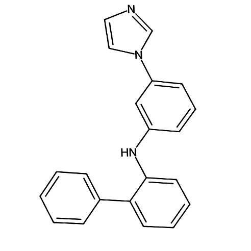 c1ccc(-c2ccccc2Nc2cccc(-n3ccnc3)c2)cc1